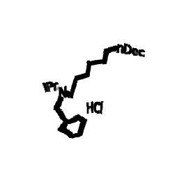 CCCCCCCCCCCCCCCCN(Cc1ccccc1)C(C)C.Cl